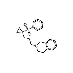 O=S(=O)(c1ccccc1)C1(CCCN2CCc3ccccc3C2)CC1